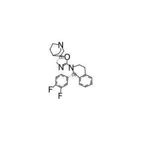 Fc1ccc([C@H]2c3ccccc3CCN2C2=NC[C@]3(CN4CCC3CC4)O2)cc1F